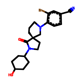 N#Cc1ccc(N2CCC[C@]3(CCN(C4CCC(O)CC4)C3=O)C2)c(Br)c1